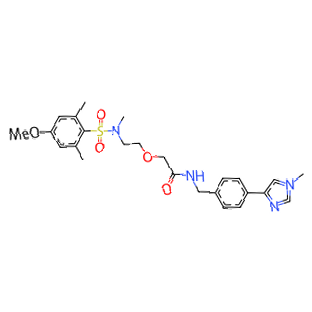 COc1cc(C)c(S(=O)(=O)N(C)CCOCC(=O)NCc2ccc(-c3cn(C)cn3)cc2)c(C)c1